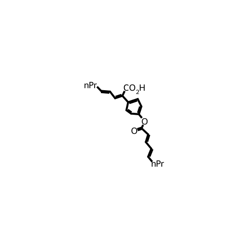 CCCC=CC=CC(=O)Oc1ccc(C(=CC=CCCC)C(=O)O)cc1